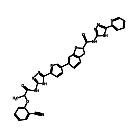 CC(Oc1ccccc1C#N)C(=O)Nc1nnc(-c2ccc(-c3ccc4c(c3)OC(C(=O)Nc3nnc(-c5ccccn5)[nH]3)C4)cn2)[nH]1